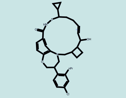 CCCc1cc(Cl)ccc1C1COc2ccc3cc2N(C1)CC1CCC1C(O)/C=C/CCC(C1CC1)SNC3=O